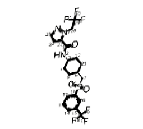 O=C(N[C@H]1CC[C@H](CS(=O)(=O)c2cccc(C(F)(F)F)c2)CC1)c1ccnn1CC(F)(F)F